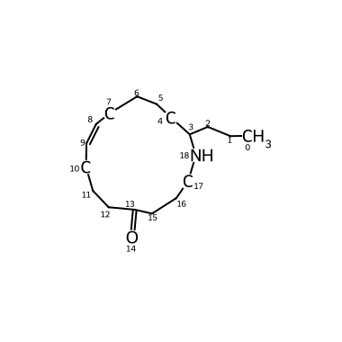 CCCC1CCCC/C=C\CCCC(=O)CCCN1